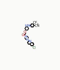 N#Cc1ccc(N[C@H]2CC[C@H](OCC(=O)N3CCN(c4ccc5cc(Cl)ccc5n4)CC3)CC2)cc1C(F)(F)F